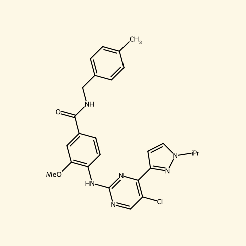 COc1cc(C(=O)NCc2ccc(C)cc2)ccc1Nc1ncc(Cl)c(-c2ccn(C(C)C)n2)n1